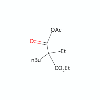 CCCCC(CC)(C(=O)OCC)C(=O)OC(C)=O